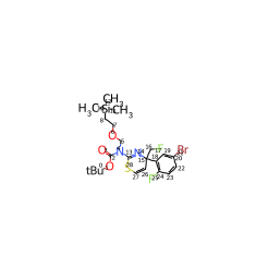 CC(C)(C)OC(=O)N(COCC[Si](C)(C)C)C1=NC(CF)(c2cc(Br)ccc2F)C=CS1